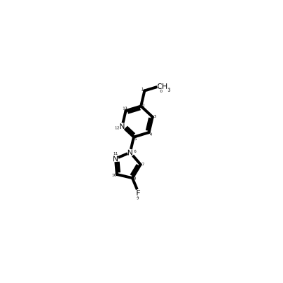 C[CH]c1ccc(-n2cc(F)cn2)nc1